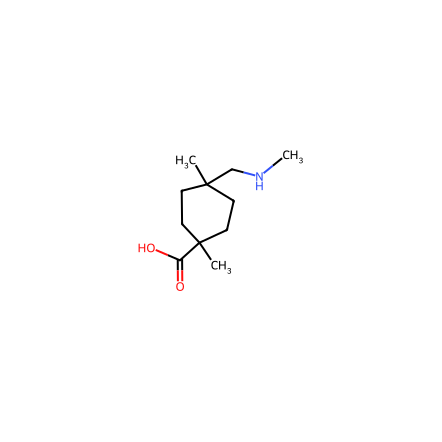 CNCC1(C)CCC(C)(C(=O)O)CC1